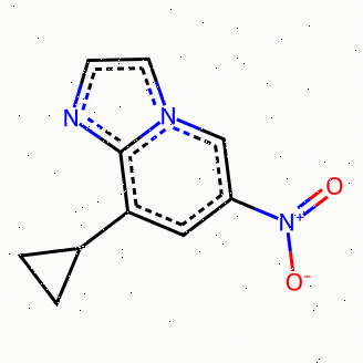 O=[N+]([O-])c1cc(C2CC2)c2nccn2c1